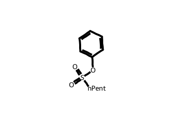 CCCCCS(=O)(=O)Oc1ccccc1